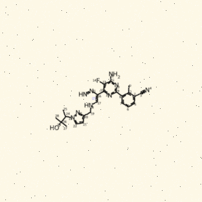 Cc1c(C#N)cccc1-c1nc(N)c(F)c(/C(=C/NCc2ccn(C(C)C(C)(C)O)n2)N=N)n1